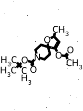 CC(=O)OC1=CC(C)OC12CCN(C(=O)OC(C)(C)C)CC2